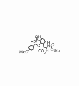 COc1ccc(COc2c(CC(NC(=O)OC(C)(C)C)C(=O)O)cccc2B(O)O)cc1